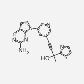 CC(O)(C#Cc1cncc(-n2ccc3cnc(N)nc32)c1)c1nccs1